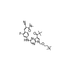 CN(C)C(=O)C(C#N)=Cc1ccc(Nc2cnc3c(n2)c(C(=O)C(C)(C)C)cn3COCC[Si](C)(C)C)cc1F